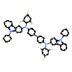 Fc1cc(F)c(N(c2ccc(-c3ccc(N(c4ccc5c(c4)c4ccccc4n5-c4ccccc4)c4c(F)cc(F)cc4F)cc3)cc2)c2ccc3c(c2)c2ccccc2n3-c2ccccc2)c(F)c1